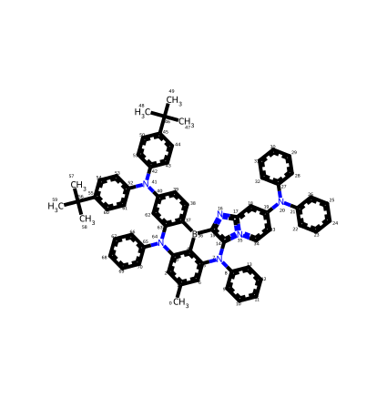 Cc1cc2c3c(c1)N(c1ccccc1)c1c(nc4cc(N(c5ccccc5)c5ccccc5)ccn14)B3c1ccc(N(c3ccc(C(C)(C)C)cc3)c3ccc(C(C)(C)C)cc3)cc1N2c1ccccc1